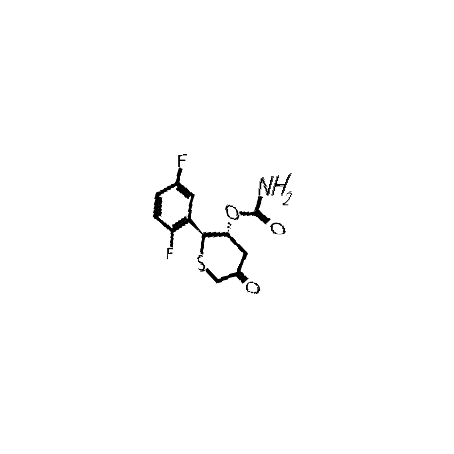 NC(=O)O[C@@H]1CC(=O)CS[C@H]1c1cc(F)ccc1F